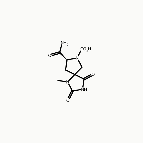 CN1C(=O)NC(=O)C12C[C@@H](C(N)=O)N(C(=O)O)C2